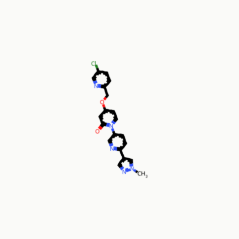 Cn1cc(-c2ccc(-n3ccc(OCc4ccc(Cl)cn4)cc3=O)cn2)cn1